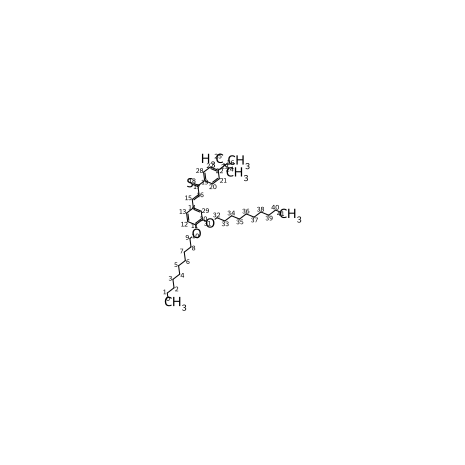 CCCCCCCCCCOc1ccc(C=CC(=S)c2ccc(C(C)(C)C)cc2)cc1OCCCCCCCCCC